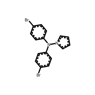 Brc1ccc(N(c2ccc(Br)cc2)n2cccc2)cc1